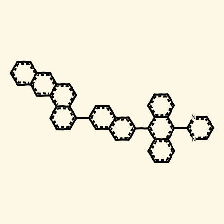 c1cnc(-c2c3ccccc3c(-c3ccc4cc(-c5cccc6c5ccc5cc7ccccc7cc56)ccc4c3)c3ccccc23)nc1